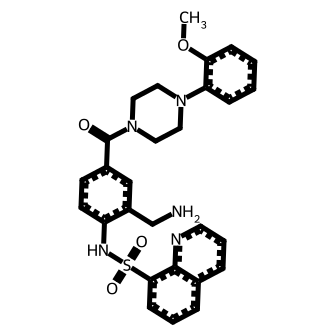 COc1ccccc1N1CCN(C(=O)c2ccc(NS(=O)(=O)c3cccc4cccnc34)c(CN)c2)CC1